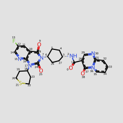 O=C(N[C@H]1CC[C@@H](n2c(=O)c3cc(F)cnc3n(C3CCSCC3)c2=O)CC1)c1cnc2ccccn2c1=O